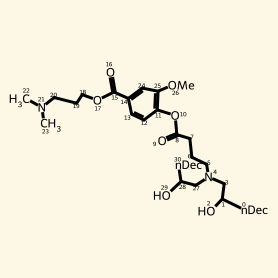 CCCCCCCCCCC(O)CN(CCCC(=O)Oc1ccc(C(=O)OCCCN(C)C)cc1OC)CC(O)CCCCCCCCCC